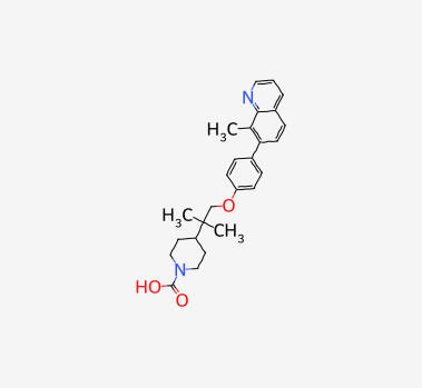 Cc1c(-c2ccc(OCC(C)(C)C3CCN(C(=O)O)CC3)cc2)ccc2cccnc12